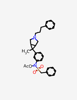 CC(=O)ON(c1cccc(C2(C)C3CN(CCCc4ccccc4)CC32)c1)S(=O)(=O)Cc1ccccc1